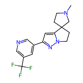 CN1CCC2(CCn3nc(-c4cncc(C(F)(F)F)c4)cc32)C1